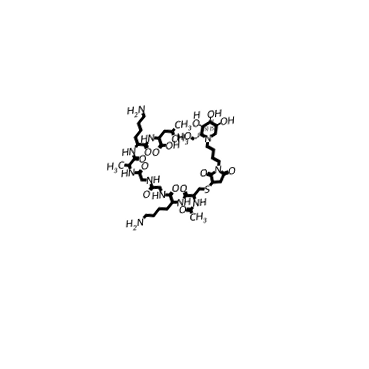 CC(=O)NC(CSC1CC(=O)N(CCCCN2C[C@H](O)[C@@H](O)[C@@H](O)[C@H]2CO)C1=O)C(=O)NC(CCCCN)C(=O)NCC(=O)NCC(=O)NC(C)C(=O)NC(CCCCN)C(=O)NC(CC(C)C)C(=O)O